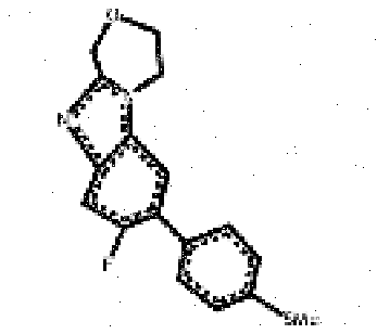 CSc1ccc(-c2cc3c(cc2F)nc2n3CCOC2)cc1